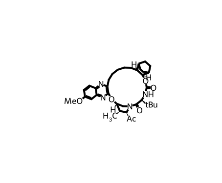 COc1ccc2nc3c(nc2c1)O[C@H]1CN(C(=O)[C@H](C(C)(C)C)NC(=O)O[C@@H]2C4CCC(CC4)[C@H]2CCCCC3)[C@H](C(C)=O)[C@@H]1C